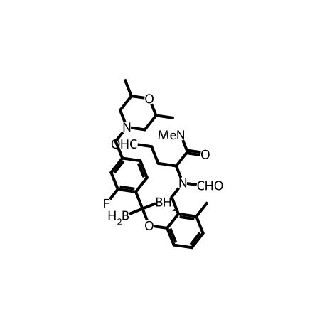 BC(B)(Oc1cccc(C)c1CN(C=O)C(CCC=O)C(=O)NC)c1ccc(CN2CC(C)OC(C)C2)cc1F